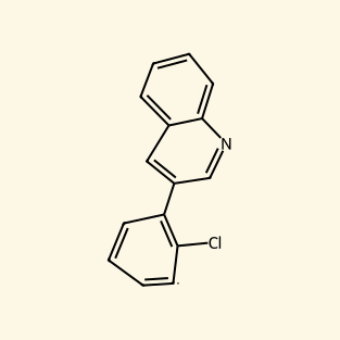 Clc1[c]cccc1-c1cnc2ccccc2c1